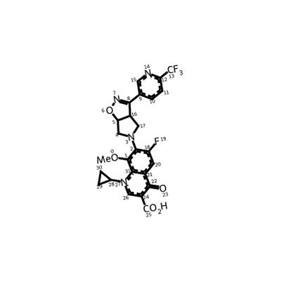 COc1c(N2CC3ON=C(c4ccc(C(F)(F)F)nc4)C3C2)c(F)cc2c(=O)c(C(=O)O)cn(C3CC3)c12